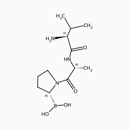 CC(C)[C@H](N)C(=O)N[C@H](C)C(=O)N1CCC[C@H]1B(O)O